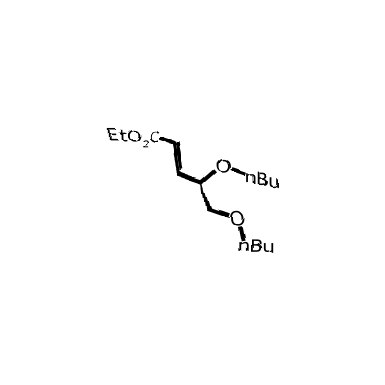 CCCCOC[C@@H](/C=C/C(=O)OCC)OCCCC